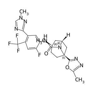 Cc1nnc([C@]23CC[C@@H](C)C[C@H](C2)N3C(=O)Nc2cc(-c3ncn(C)n3)c(C(F)(F)F)cc2F)o1